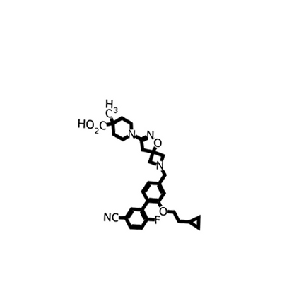 CC1(C(=O)O)CCN(C2=NOC3(C2)CN(Cc2ccc(-c4cc(C#N)ccc4F)c(OCCC4CC4)c2)C3)CC1